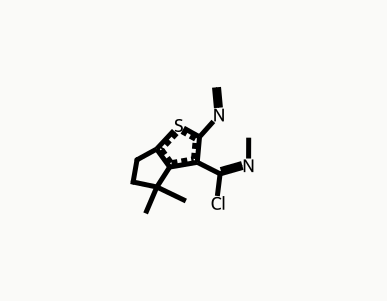 C=Nc1sc2c(c1/C(Cl)=N\C)C(C)(C)CC2